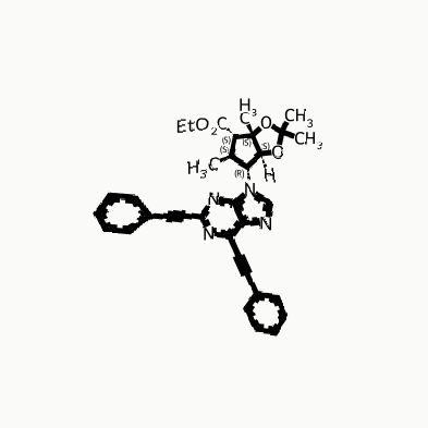 CCOC(=O)[C@H]1[C@H](C)[C@@H](n2cnc3c(C#Cc4ccccc4)nc(C#Cc4ccccc4)nc32)[C@@H]2OC(C)(C)O[C@]21C